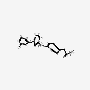 NC(=O)Cc1ccc(Nc2ccnc(-c3cccc(Cl)c3)c2)cc1